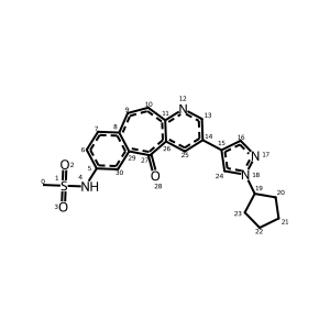 CS(=O)(=O)Nc1ccc2ccc3ncc(-c4cnn(C5CCCC5)c4)cc3c(=O)c2c1